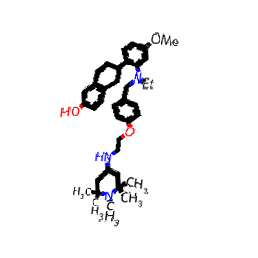 CCN(Cc1ccc(OCCNC2CC(C)(C)N(C)C(C)(C)C2)cc1)c1cc(OC)ccc1C1CCc2cc(O)ccc2C1